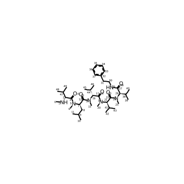 CN[C@@H](C(=O)N(C)[C@H](CC(C)C)C(=O)N(C)[C@@H](C(=O)N(C)[C@@H](C(=O)N(C)[C@@H](C(=O)NCCc1ccccc1)C(C)C)C(C)C)C(C)C)C(C)C